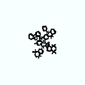 Cc1cc2c3c(c1)N(c1cccc4c1oc1ccccc14)c1cc4c(cc1B3c1sc3c5c(ccc3c1N2c1ccc2c(c1)C(C)(C)CCC2(C)C)C(C)(C)CCC5(C)C)C(C)(C)c1ccccc1N4c1ccccc1